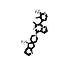 Cc1nc(N2CCC3(CC2)Cc2ncccc2[C@H]3N)c2ccnn2c1-c1ccnc(C(F)(F)F)c1F